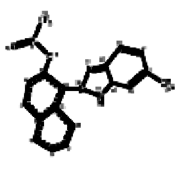 O=S(Oc1ccc2ccccc2c1N1N=C2C=CC(C(F)(F)F)=CC2N1)C(F)(F)F